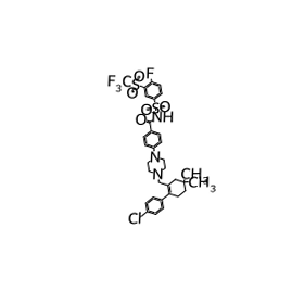 CC1(C)CCC(c2ccc(Cl)cc2)=C(CN2CCN(c3ccc(C(=O)NS(=O)(=O)c4ccc(F)c(S(=O)(=O)C(F)(F)F)c4)cc3)CC2)C1